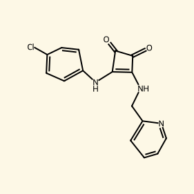 O=c1c(NCc2ccccn2)c(Nc2ccc(Cl)cc2)c1=O